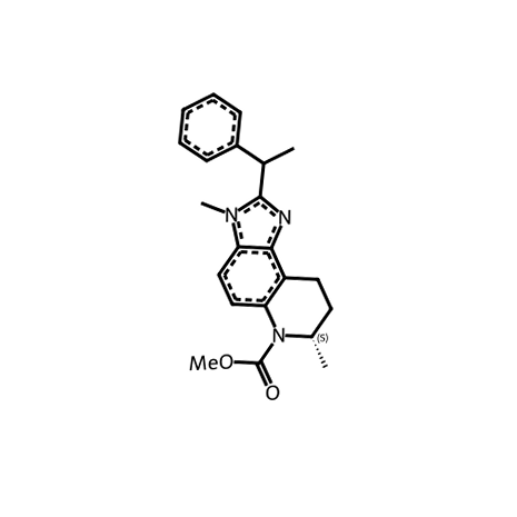 COC(=O)N1c2ccc3c(nc(C(C)c4ccccc4)n3C)c2CC[C@@H]1C